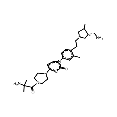 Cc1cc(-n2ccc(N3CCN(C(=O)C(C)(C)N)CC3)nc2=O)ccc1CCN1CC(C)[C@H](CN)C1